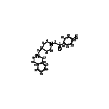 O=C(CN1CCC(CN2CCc3ccccc3C2)CC1)c1ccc(F)cc1